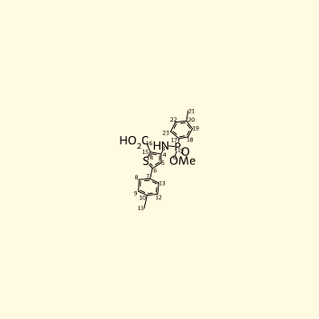 COP(=O)(Nc1cc(-c2ccc(C)cc2)sc1C(=O)O)c1ccc(C)cc1